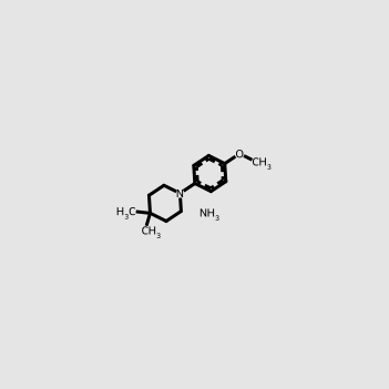 COc1ccc(N2CCC(C)(C)CC2)cc1.N